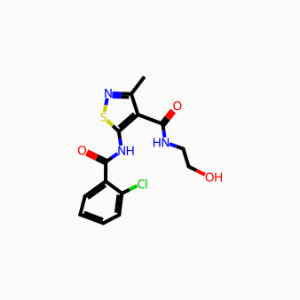 Cc1nsc(NC(=O)c2ccccc2Cl)c1C(=O)NCCO